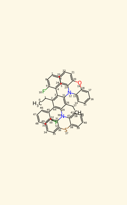 CCc1c(-c2ccccc2F)c(N2c3ccccc3Oc3ccccc32)c(CC)c(N2c3ccccc3Sc3ccccc32)c1-c1ccccc1F